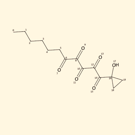 CCCCCCC(=O)C(=O)C(=O)C(=O)C(=O)C1(O)CC1